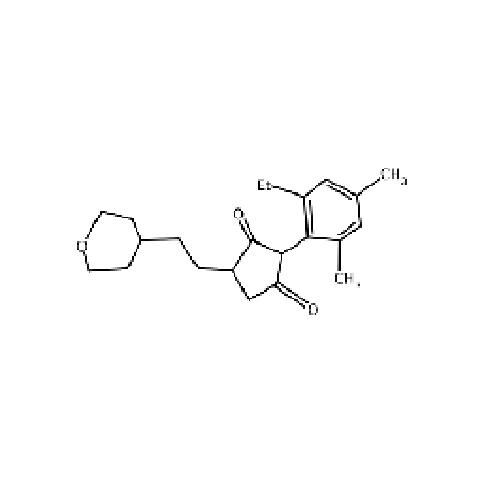 CCc1cc(C)cc(C)c1C1C(=O)CC(CCC2CCOCC2)C1=O